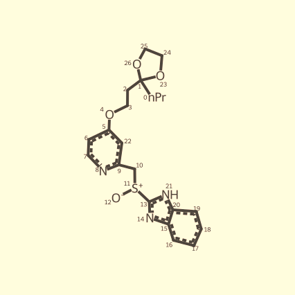 CCCC1(CCOc2ccnc(C[S+]([O-])c3nc4ccccc4[nH]3)c2)OCCO1